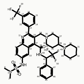 CN(C)S(=O)(=O)Nc1ccc2nc(-c3cccc(C(F)(F)F)c3)c(CN3CCC(N4CCCCC4)CC3)c(C(=O)NC(c3ccccc3)C(F)(F)F)c2c1